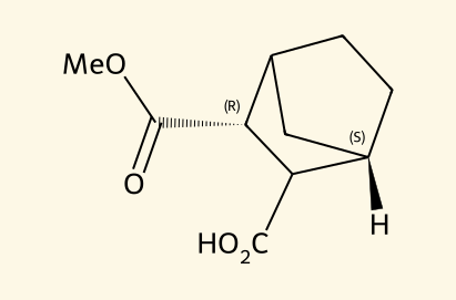 COC(=O)[C@@H]1C2CC[C@@H](C2)C1C(=O)O